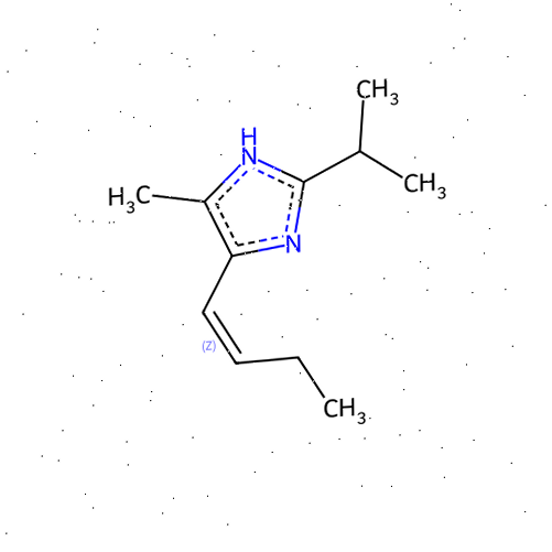 CC/C=C\c1nc(C(C)C)[nH]c1C